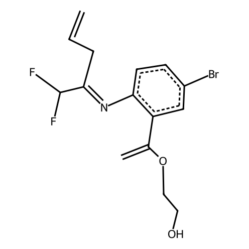 C=CC/C(=N\c1ccc(Br)cc1C(=C)OCCO)C(F)F